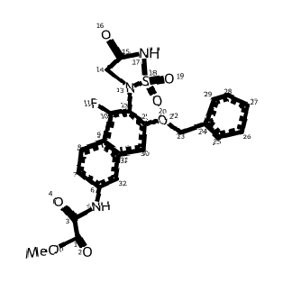 COC(=O)C(=O)Nc1ccc2c(F)c(N3CC(=O)NS3(=O)=O)c(OCc3ccccc3)cc2c1